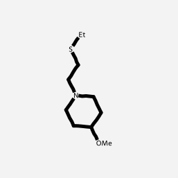 CCSCCN1CCC(OC)CC1